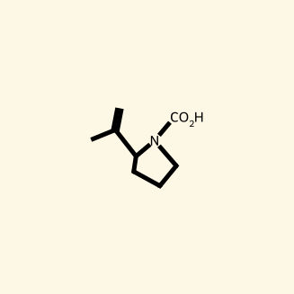 C=C(C)C1CCCN1C(=O)O